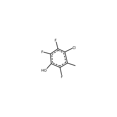 Cc1c(F)c(O)c(F)c(F)c1Cl